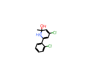 CC1(O)C=C(Cl)C=C(c2ccccc2Cl)N1